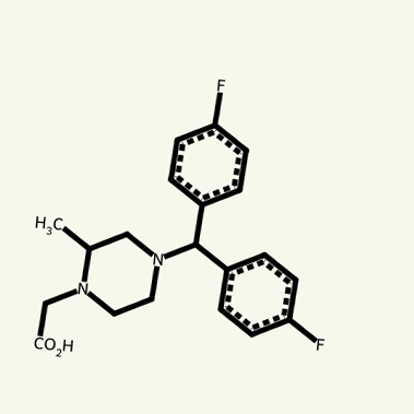 CC1CN(C(c2ccc(F)cc2)c2ccc(F)cc2)CCN1CC(=O)O